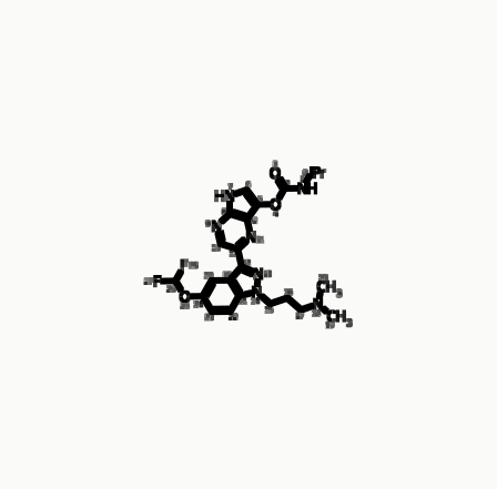 CC(C)NC(=O)Oc1c[nH]c2ncc(-c3nn(CCCN(C)C)c4ccc(OC(F)F)cc34)nc12